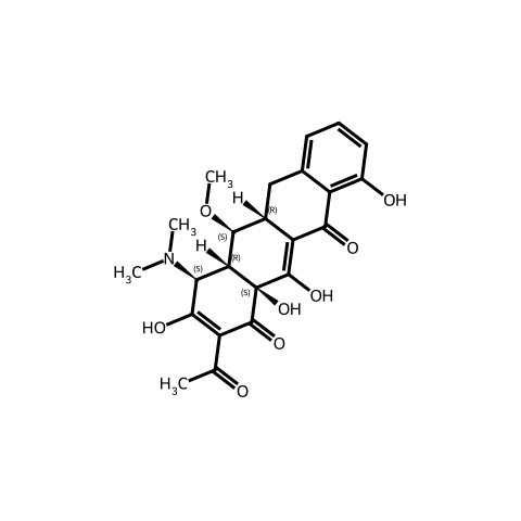 CO[C@@H]1[C@H]2[C@H](N(C)C)C(O)=C(C(C)=O)C(=O)[C@@]2(O)C(O)=C2C(=O)c3c(O)cccc3C[C@H]21